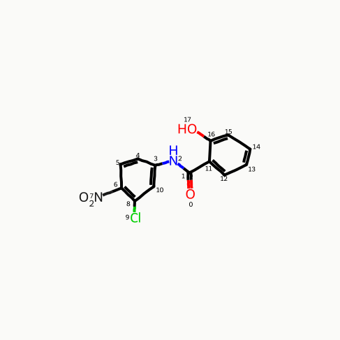 O=C(Nc1ccc([N+](=O)[O-])c(Cl)c1)c1ccccc1O